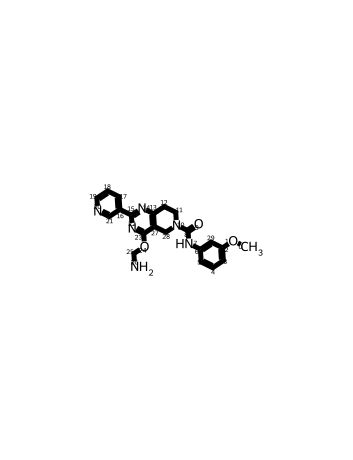 COc1cccc(NC(=O)N2CCc3nc(-c4cccnc4)nc(OCN)c3C2)c1